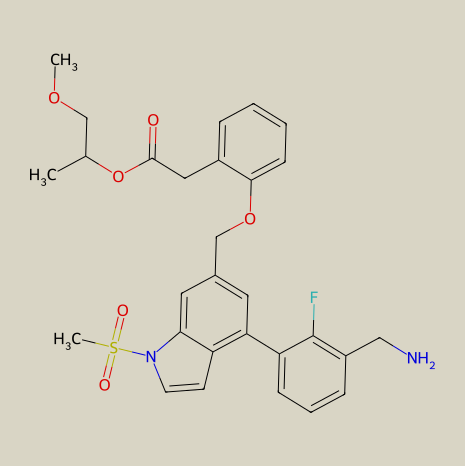 COCC(C)OC(=O)Cc1ccccc1OCc1cc(-c2cccc(CN)c2F)c2ccn(S(C)(=O)=O)c2c1